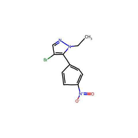 CCn1ncc(Br)c1-c1ccc([N+](=O)[O-])cc1